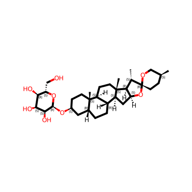 C[C@H]1CC[C@@]2(OC1)O[C@H]1C[C@H]3[C@@H]4CC[C@@H]5C[C@@H](O[C@@H]6O[C@@H](CO)[C@H](O)[C@H](O)[C@@H]6O)CC[C@]5(C)[C@H]4CC[C@]3(C)[C@H]1[C@@H]2C